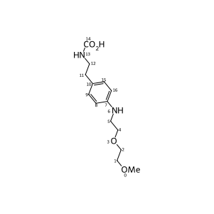 COCCOCCNc1ccc(CCNC(=O)O)cc1